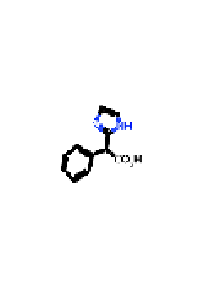 O=C(O)C(c1ccccc1)c1ncc[nH]1